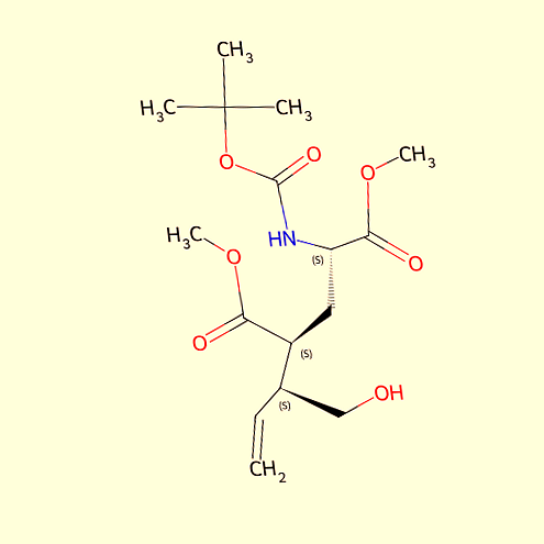 C=C[C@H](CO)[C@H](C[C@H](NC(=O)OC(C)(C)C)C(=O)OC)C(=O)OC